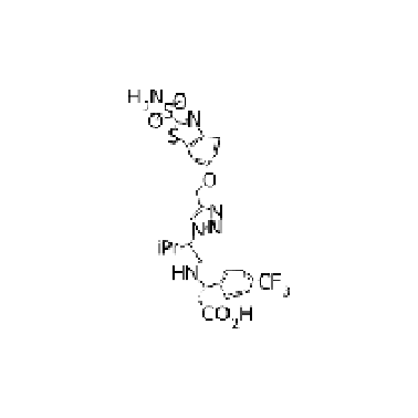 CC(C)[C@H](CN[C@@H](CC(=O)O)c1ccc(C(F)(F)F)cc1)n1cc(COc2ccc3nc(S(N)(=O)=O)sc3c2)nn1